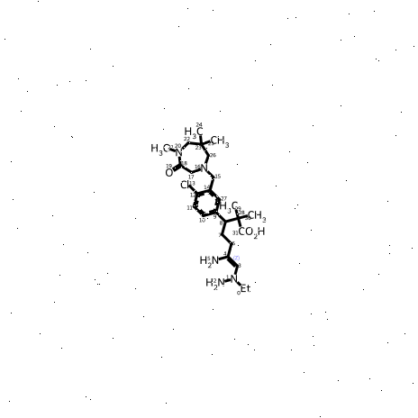 CCN(N)/C=C(\N)CCC(c1ccc(Cl)c(CN2CC(=O)N(C)CC(C)(C)C2)c1)C(C)(C)C(=O)O